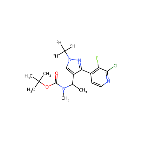 [2H]C([2H])([2H])n1cc(C(C)N(C)C(=O)OC(C)(C)C)c(-c2ccnc(Cl)c2F)n1